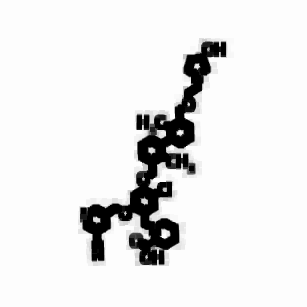 Cc1c(COCCN2CC[C@@H](O)C2)cccc1-c1cccc(COc2cc(OCc3cncc(C#N)c3)c(CN3CCCC[C@H]3C(=O)O)cc2Cl)c1C